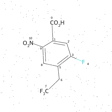 O=C(O)c1cc(F)c(CC(F)(F)F)cc1[N+](=O)[O-]